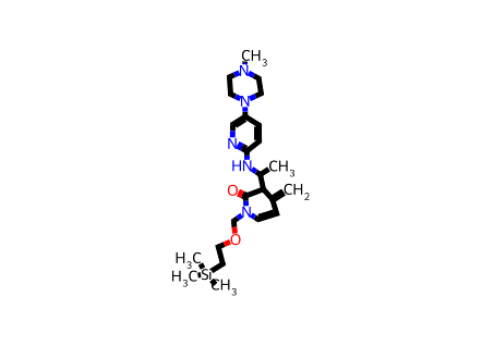 C=C1C=CN(COCC[Si](C)(C)C)C(=O)C1C(C)Nc1ccc(N2CCN(C)CC2)cn1